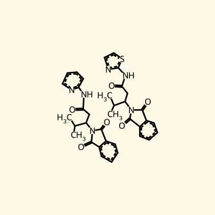 CC(C)C(CC(=O)Nc1ccccn1)N1C(=O)c2ccccc2C1=O.CC(C)C(CC(=O)Nc1nccs1)N1C(=O)c2ccccc2C1=O